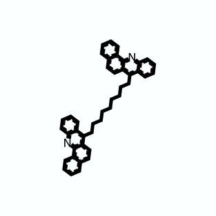 c1ccc2c(c1)ccc1c(CCCCCCCCCc3c4ccccc4nc4c3ccc3ccccc34)c3ccccc3nc12